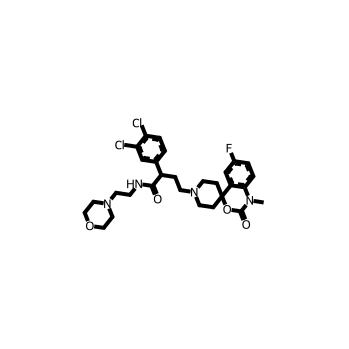 CN1C(=O)OC2(CCN(CCC(C(=O)NCCN3CCOCC3)c3ccc(Cl)c(Cl)c3)CC2)c2cc(F)ccc21